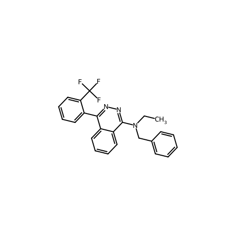 CCN(Cc1ccccc1)c1nnc(-c2ccccc2C(F)(F)F)c2ccccc12